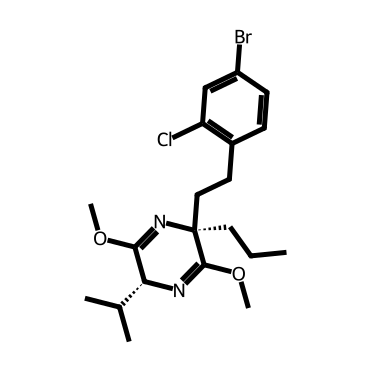 CCC[C@@]1(CCc2ccc(Br)cc2Cl)N=C(OC)[C@@H](C(C)C)N=C1OC